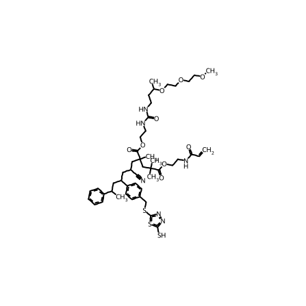 C=CC(=O)NCCOC(=O)C(C)(C)CC(C)(CC(C#N)CC(CC(C)c1ccccc1)c1ccc(CSc2nnc(S)s2)cc1)C(=O)OCCNC(=O)NCCC(C)OCCOCCOC